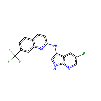 Fc1cnc2[nH]cc(Nc3ccc4ccc(C(F)(F)F)cc4n3)c2c1